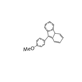 COc1ccc(C2=C3C=CC=CC3c3ccccc32)cc1